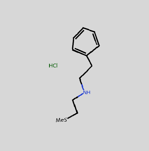 CSCCNCCc1ccccc1.Cl